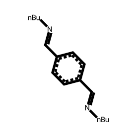 CCCCN=Cc1ccc(C=NCCCC)cc1